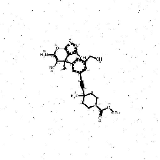 Cc1n[nH]c2c1C(c1cc(C#CC3(C)CCN(C(=O)OC(C)(C)C)CC3)cc(CO)c1)(C(C)C)C(C#N)=C(N)O2